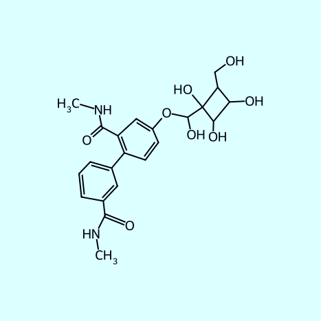 CNC(=O)c1cccc(-c2ccc(OC(O)C3(O)C(O)C(O)C3CO)cc2C(=O)NC)c1